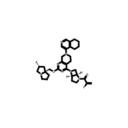 C=C(F)C(=O)N1CC[C@@H]2[C@H]1CN2c1nc(OC[C@@]23CCCN2C[C@H](F)C3)nc2c1CCN(c1cncc3c1CCCC3)C2